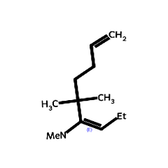 C=CCCC(C)(C)/C(=C\CC)NC